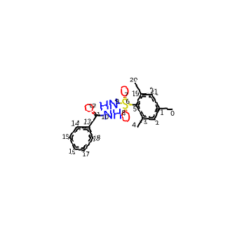 Cc1cc(C)c(S(=O)(=O)NNC(=O)c2ccccc2)c(C)c1